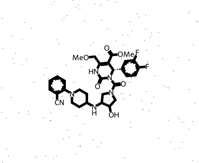 COCC1=C(C(=O)OC)[C@H](c2ccc(F)c(F)c2)N(C(=O)N2CC(O)C(NC3CCN(c4ccccc4C#N)CC3)C2)C(=O)N1